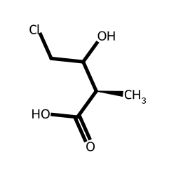 C[C@@H](C(=O)O)C(O)CCl